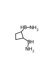 NBC1CCC1BN